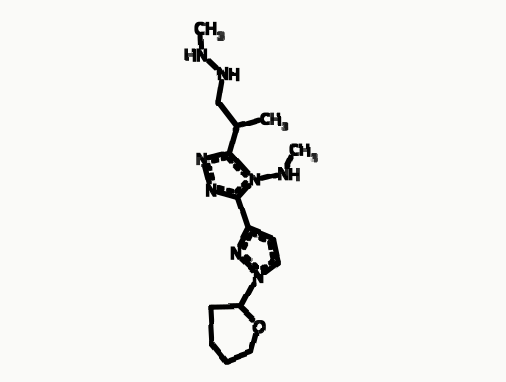 CNNCC(C)c1nnc(-c2ccn(C3CCCCO3)n2)n1NC